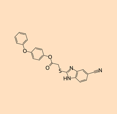 N#Cc1ccc2[nH]c(SCC(=O)Oc3ccc(Oc4ccccc4)cc3)nc2c1